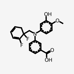 COc1ccc(N(CC2(F)CC=CC=C2F)c2cccc(C(=O)O)c2)cc1O